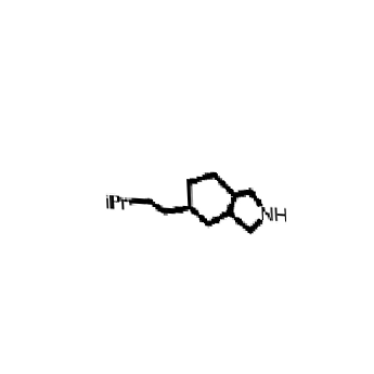 CC(C)CCC1CCC2CNCC2C1